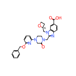 O=C(O)c1ccc2nc(CN3CCN(c4cccc(OCc5ccccc5)n4)CC3=O)n(C[C@@H]3CCO3)c2c1